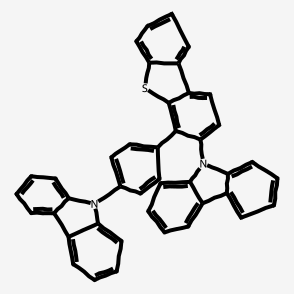 c1ccc2c(c1)sc1c(-c3ccc(-n4c5ccccc5c5ccccc54)cc3)c(-n3c4ccccc4c4ccccc43)ccc12